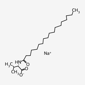 CCCCCCCCCCCCCCCCCC(=O)N[C@H](C(=O)[O-])C(C)C.[Na+]